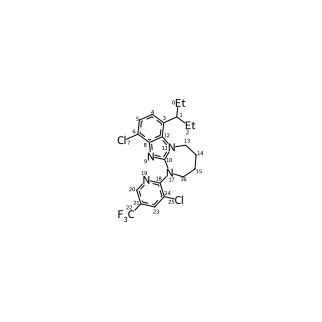 CCC(CC)c1ccc(Cl)c2nc3n(c12)CCCCN3c1ncc(C(F)(F)F)cc1Cl